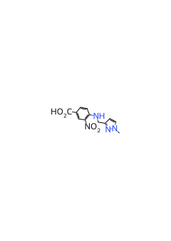 Cn1ccc(CNc2ccc(C(=O)O)cc2[N+](=O)[O-])n1